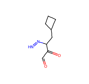 N=NC(CC1CCC1)C(=O)C=O